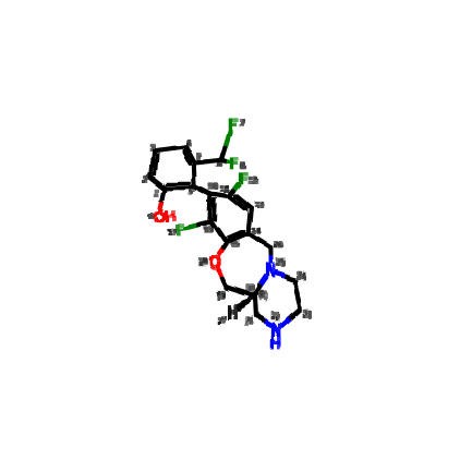 Oc1cccc(C(F)F)c1-c1c(F)cc2c(c1F)OC[C@H]1CNCCN1C2